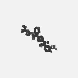 C=CC(=O)N1CC[C@H](n2c(=O)n(-c3ccc(NC(=O)c4ccc(C)c(C(F)(F)F)c4)cc3)c3cnccc32)C1